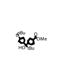 CCCCOC1=CCC(C(O)(c2ccc(C(=O)OC)cc2)C(C)(C)C)C=C1